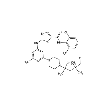 Cc1nc(Nc2ncc(C(=O)Nc3c(C)cccc3Cl)s2)cc(N2CCN(C(C)(C)CC(C)(C)CCl)CC2)n1